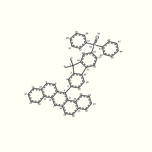 CC1(C)c2cc(-c3c4ccc5ccccc5c4cc4ccc5ccccc5c34)ccc2-c2ccc(P(=O)(c3ccccc3)c3ccccc3)cc21